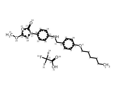 CCCCCCOc1ccc(CNc2ccc(-n3nc(OC)oc3=O)cc2)cc1.O=C(O)C(F)(F)F